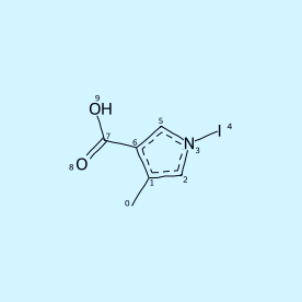 Cc1cn(I)cc1C(=O)O